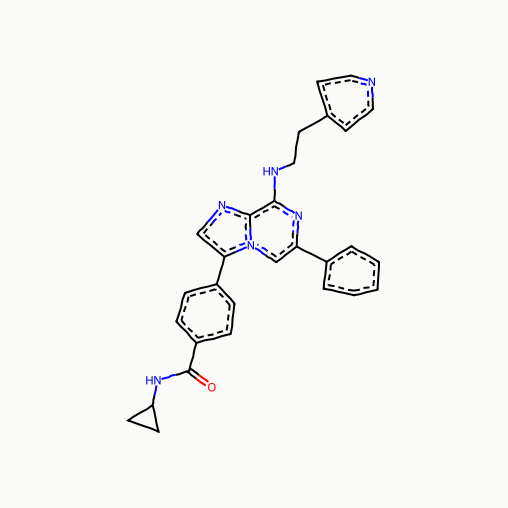 O=C(NC1CC1)c1ccc(-c2cnc3c(NCCc4ccncc4)nc(-c4ccccc4)cn23)cc1